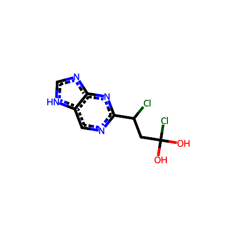 OC(O)(Cl)CC(Cl)c1ncc2[nH]cnc2n1